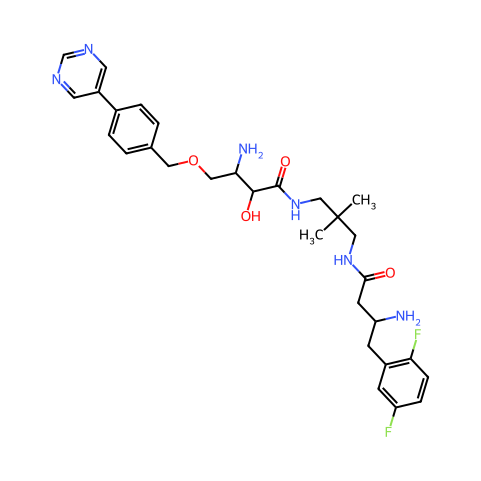 CC(C)(CNC(=O)CC(N)Cc1cc(F)ccc1F)CNC(=O)C(O)C(N)COCc1ccc(-c2cncnc2)cc1